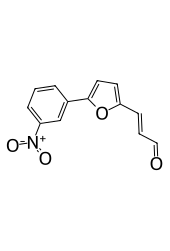 O=CC=Cc1ccc(-c2cccc([N+](=O)[O-])c2)o1